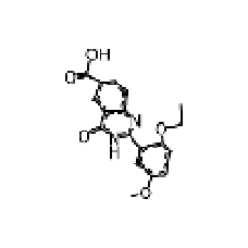 CCOc1ccc(OC)cc1-c1nc2ccc(C(=O)O)cc2c(=O)[nH]1